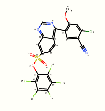 COc1cc(Cl)c(C#N)cc1-c1ncnc2cc(S(=O)(=O)Oc3c(F)c(F)c(F)c(F)c3F)ccc12